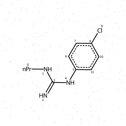 CCCNC(=N)Nc1ccc(Cl)cc1